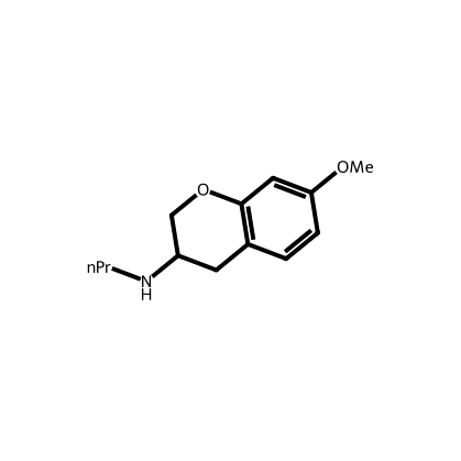 CCCNC1COc2cc(OC)ccc2C1